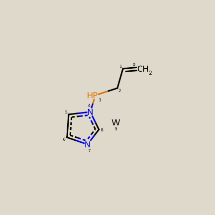 C=CCPn1ccnc1.[W]